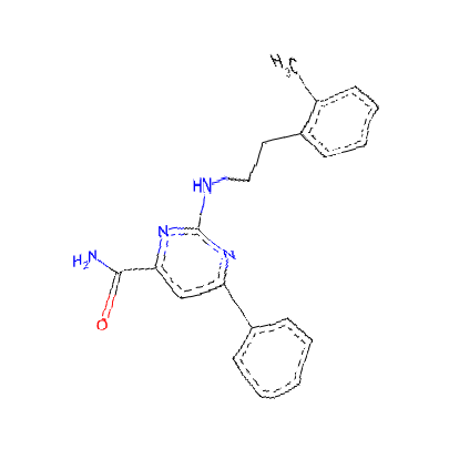 Cc1ccccc1CCNc1nc(C(N)=O)cc(-c2ccccc2)n1